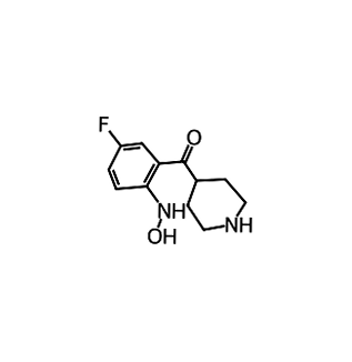 O=C(c1cc(F)ccc1NO)C1CCNCC1